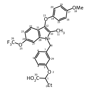 CCC(Oc1cccc(Cn2c(C)c(Oc3ccc(OC)cc3)c3ccc(OC(F)(F)F)cc32)c1)C(=O)O